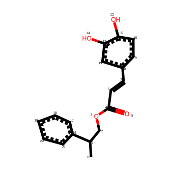 CC(COC(=O)/C=C/c1ccc(O)c(O)c1)c1ccccc1